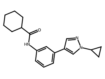 O=C(Nc1cccc(-c2cnn(C3CC3)c2)c1)C1CCCCC1